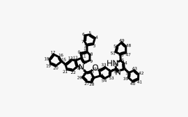 C1=C(c2ccccc2)CCc2c1c1cc(-c3ccccc3)ccc1n2-c1cccc2c1oc1cc(C3=NC(c4ccccc4)=CC(c4ccccc4)N3)ccc12